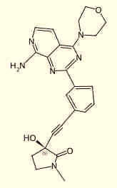 CN1CC[C@](O)(C#Cc2cccc(-c3nc(N4CCOCC4)c4ccnc(N)c4n3)c2)C1=O